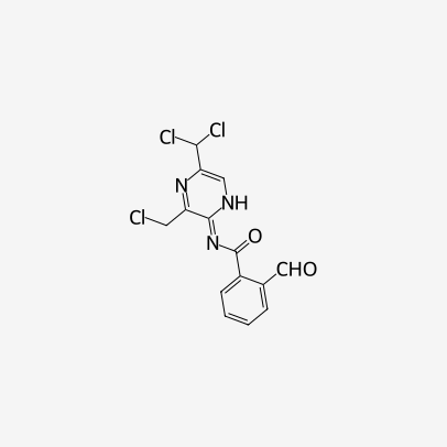 O=Cc1ccccc1C(=O)N=c1[nH]cc(C(Cl)Cl)nc1CCl